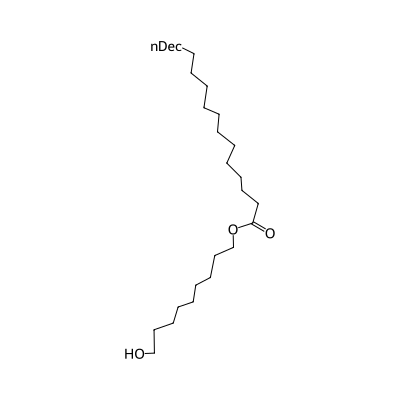 CCCCCCCCCCCCCCCCCCCCCC(=O)OCCCCCCCCCO